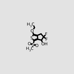 CCOc1sc(S(C)(=O)=O)c2c1CC(F)(F)C2O